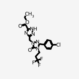 CCOC(=O)c1nc(Cn2nc(-c3ccc(Cl)cc3)n(CCC(F)(F)F)c2=O)n[nH]1